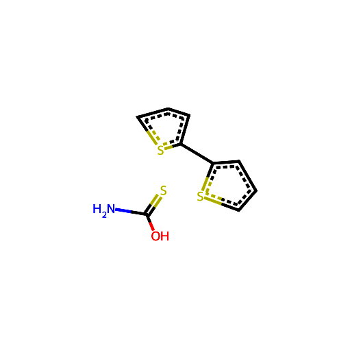 NC(O)=S.c1csc(-c2cccs2)c1